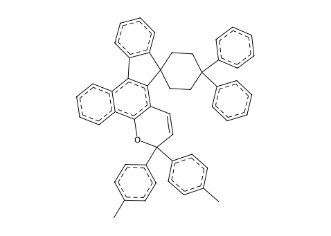 Cc1ccc(C2(c3ccc(C)cc3)C=Cc3c4c(c5ccccc5c3O2)-c2ccccc2C42CCC(c3ccccc3)(c3ccccc3)CC2)cc1